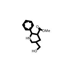 COC(=O)C1CC(CO)CNC1c1ccccc1